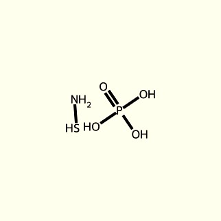 NS.O=P(O)(O)O